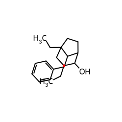 CCC1CC2(CC)CCC(C1O)C2Cc1ccccc1